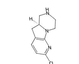 Clc1ccc2c(n1)N1CCNC[C@@H]1C2